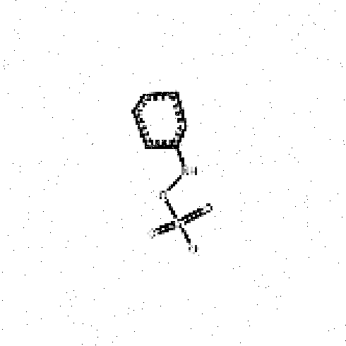 [O]S(=O)(=O)ONc1ccccc1